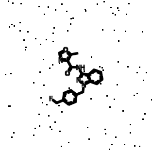 Cc1ocnc1C(=O)Nc1nn(Cc2ccc(CF)cc2)c2ccccc12